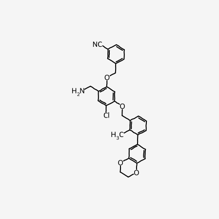 Cc1c(COc2cc(OCc3cccc(C#N)c3)c(CN)cc2Cl)cccc1-c1ccc2c(c1)OCCO2